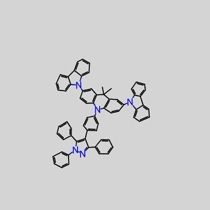 CC1(C)c2cc(-n3c4ccccc4c4ccccc43)ccc2N(c2ccc(-c3c(-c4ccccc4)nn(-c4ccccc4)c3-c3ccccc3)cc2)c2ccc(-n3c4ccccc4c4ccccc43)cc21